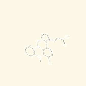 COc1ccccc1C(O)c1cc(Cl)ccc1-n1cccc1/C=C/C(=O)O